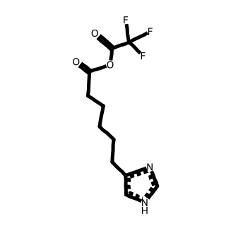 O=C(CCCCCc1c[nH]cn1)OC(=O)C(F)(F)F